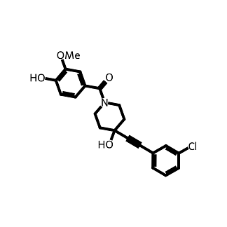 COc1cc(C(=O)N2CCC(O)(C#Cc3cccc(Cl)c3)CC2)ccc1O